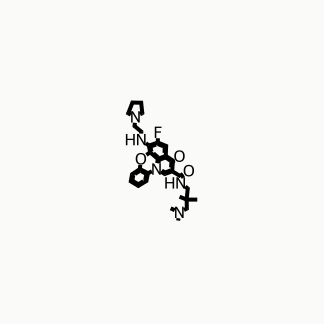 CN(C)CC(C)(C)CNC(=O)c1cn2c3c(c(NCCN4CCCC4)c(F)cc3c1=O)Oc1ccccc1-2